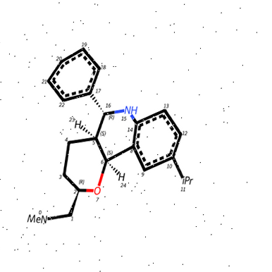 CNC[C@H]1CC[C@@H]2[C@H](O1)c1cc(C(C)C)ccc1N[C@H]2c1ccccc1